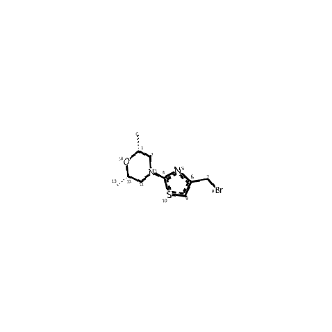 C[C@@H]1CN(c2nc(CBr)cs2)C[C@H](C)O1